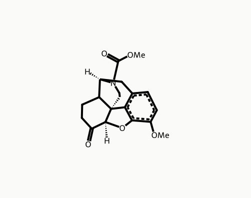 COC(=O)N1CC[C@]23c4c5ccc(OC)c4O[C@H]2C(=O)CCC3[C@H]1C5